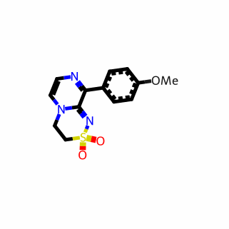 COc1ccc(C2=NC=CN3CCS(=O)(=O)N=C23)cc1